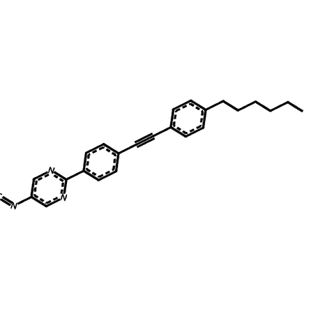 CCCCCCc1ccc(C#Cc2ccc(-c3ncc(N=C=S)cn3)cc2)cc1